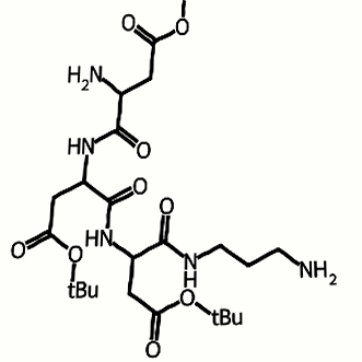 CC(C)(C)OC(=O)CC(N)C(=O)NC(CC(=O)OC(C)(C)C)C(=O)NC(CC(=O)OC(C)(C)C)C(=O)NCCCN